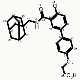 O=C(O)COc1ccc(-c2ccc(Cl)c(C(=O)NCC34CC5CC(CC(C5)C3)C4)c2)cc1